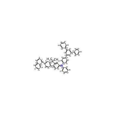 CC1(C)c2cc(-c3cccc4ccccc34)ccc2-c2ccc(N(c3ccccc3)c3ccc(-c4cc(-c5ccccc5)cc(-c5ccccc5)c4)cc3)cc21